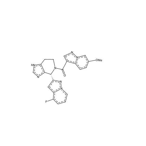 COc1ccc2c(C(=O)N3CCc4[nH]cnc4[C@H]3c3cc4c(F)cccn4n3)cnn2c1